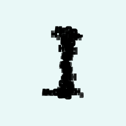 COC(=O)C[C@H](C(=O)N1C2C(C[C@H]1c1ncc(-c3ccc4cc(-c5ccc(-c6[nH]c([C@@H]7CC8C(C)C8N7C(=O)[C@@H](NC(=O)OC)C(C)C)nc6Cl)cc5)ccc4c3)[nH]1)[C@H]2C)C1CCOCC1